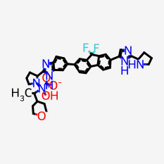 CC(C1CCOCC1)[N+](O)(C(=O)[O-])N1CCCC1c1nc2ccc(-c3ccc4c(c3)C(F)(F)c3cc(-c5cnc(C6CCCN6)[nH]5)ccc3-4)cc2[nH]1